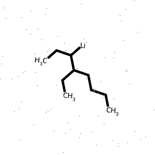 [Li][CH](CC)C(CC)CCCC